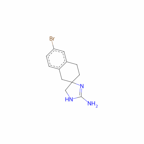 NC1=NC2(CCc3cc(Br)ccc3C2)CN1